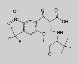 COc1cc(C(F)(F)F)c([N+](=O)[O-])cc1C(=O)C(=CNC(CO)C(C)(C)C)C(=O)O